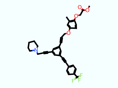 COC(=O)COc1ccc(OCC#Cc2cc(C#CCN3CCCCC3)cc(C#Cc3ccc(C(F)(F)F)cc3)c2)cc1C